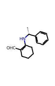 C[C@@H](NC1=C(C=O)CCCC1)c1ccccc1